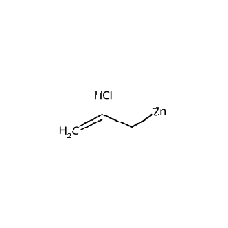 C=C[CH2][Zn].Cl